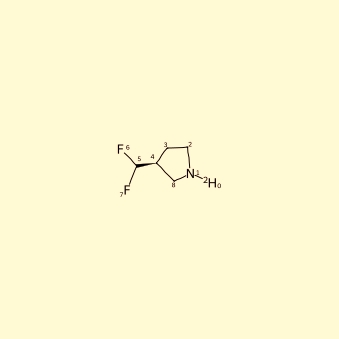 [2H]N1CC[C@H](C(F)F)C1